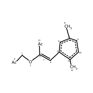 CC(=O)CO/C(=C/c1cc(C)ccc1C)C(C)=O